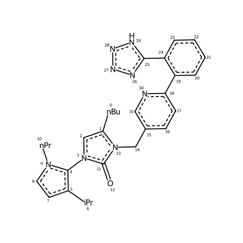 CCCCc1cn(-c2c(C(C)C)ccn2CCC)c(=O)n1Cc1ccc(-c2ccccc2-c2nnn[nH]2)nc1